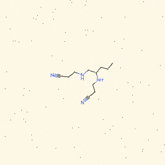 CCCC(CNCCC#N)NCCC#N